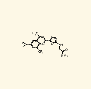 CNC(=O)CNc1nnc(-c2cc(C)c3cc(C4CC4)cc(C(F)(F)F)c3n2)o1